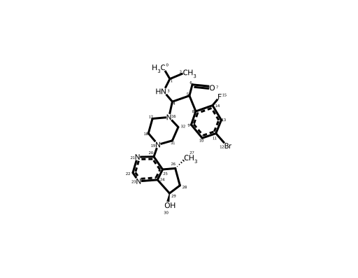 CC(C)NC(C(C=O)c1ccc(Br)cc1F)N1CCN(c2ncnc3c2[C@H](C)C[C@H]3O)CC1